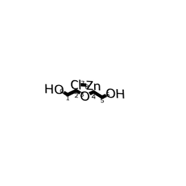 OCCOCCO.[Cl][Zn]